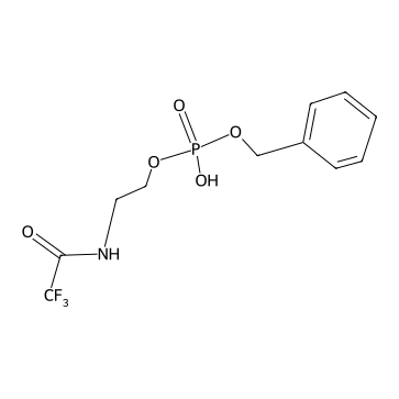 O=C(NCCOP(=O)(O)OCc1ccccc1)C(F)(F)F